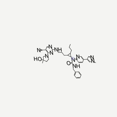 CCCC1/C(=[N+](/C(=O)NCc2ccccc2)c2ccc(-c3cnn(C)c3)cn2)C1CCCNc1ncc(C#N)c(N2CCC(C)(O)C2)n1